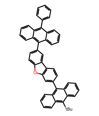 CC(C)(C)c1c2ccccc2c(-c2ccc3c(c2)oc2ccc(-c4c5ccccc5c(-c5ccccc5)c5ccccc45)cc23)c2ccccc12